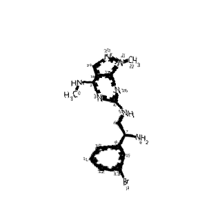 CNc1nc(NCC(N)c2cccc(Br)c2)nc2c1cnn2C